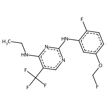 CCNc1nc(Nc2cc(OCF)[c]cc2F)ncc1C(F)(F)F